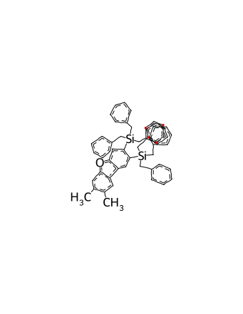 Cc1cc2oc3cc([Si](Cc4ccccc4)(Cc4ccccc4)Cc4ccccc4)c([Si](Cc4ccccc4)(Cc4ccccc4)Cc4ccccc4)cc3c2cc1C